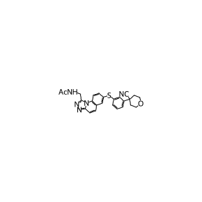 CC(=O)NCc1nnc2ccc3cc(Sc4cccc(C5(C#N)CCOCC5)c4)ccc3n12